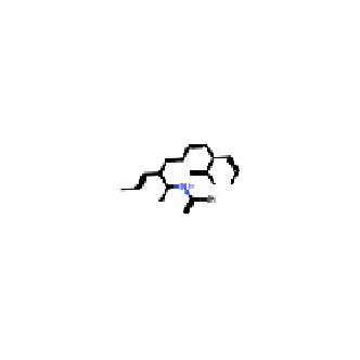 C=C(NC(C)C(C=CC)CC/C=C\C(/C=C\C)C(=C)C)C(C)C